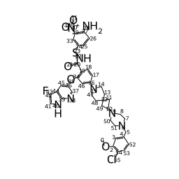 COc1cc(CN2CCN(C3CC4(CCN(c5ccc(C(=O)NSc6ccc(N)c([N+](=O)[O-])c6)c(Oc6cnc7[nH]cc(F)c7c6)c5)CC4)C3)CC2)ccc1Cl